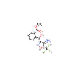 COC(=O)c1ccccc1C(=O)c1noc(C(F)(F)F)c1N